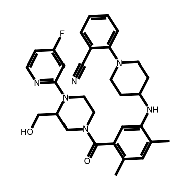 Cc1cc(C)c(C(=O)N2CCN(c3cc(F)ccn3)C(CO)C2)cc1NC1CCN(c2ccccc2C#N)CC1